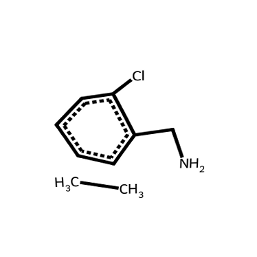 CC.NCc1ccccc1Cl